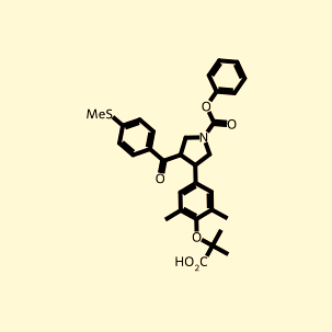 CSc1ccc(C(=O)C2CN(C(=O)Oc3ccccc3)CC2c2cc(C)c(OC(C)(C)C(=O)O)c(C)c2)cc1